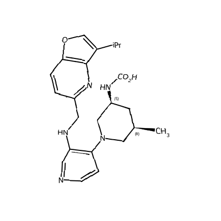 CC(C)c1coc2ccc(CNc3cnccc3N3C[C@H](C)C[C@H](NC(=O)O)C3)nc12